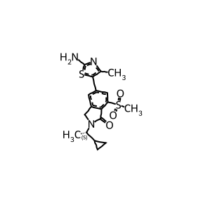 Cc1nc(N)sc1-c1cc2c(c(S(C)(=O)=O)c1)C(=O)N([C@@H](C)C1CC1)C2